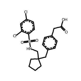 O=C(O)Cc1ccc(CC2(CNS(=O)(=O)c3ccc(Cl)cc3Cl)CCCC2)cc1